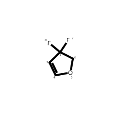 FC1(F)C=COC1